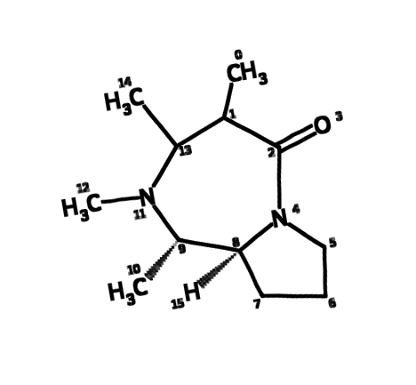 CC1C(=O)N2CCC[C@H]2[C@H](C)N(C)C1C